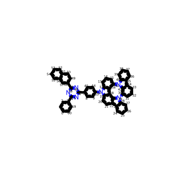 c1ccc(-c2nc(-c3ccc(-n4c5cccc6c5c5c4ccc4c7ccccc7n(c7cccc8c9ccccc9n6c87)c45)cc3)nc(-c3ccc4ccccc4c3)n2)cc1